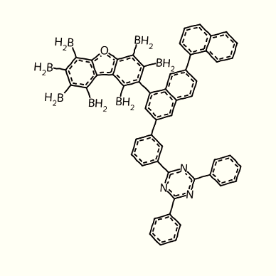 Bc1c(B)c(B)c2c(oc3c(B)c(B)c(-c4cc(-c5cccc(-c6nc(-c7ccccc7)nc(-c7ccccc7)n6)c5)cc5ccc(-c6cccc7ccccc67)cc45)c(B)c32)c1B